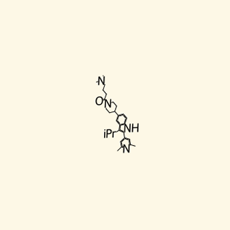 Cc1cc(-c2[nH]c3ccc(C4CCN(C(=O)CCCN(C)C)CC4)cc3c2C(C)C)cc(C)n1